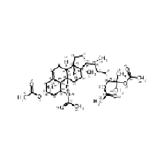 CC(=O)O[C@@H]1CC2=CC[C@H]3[C@@H]4CC[C@H]([C@H](C)CC[C@@H](OC(C)=O)C(C)(C)OC(C)=O)[C@@]4(C)CC[C@@H]3[C@@]2(C)[C@@H](OC(C)=O)C1